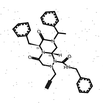 C#CCN1CC(=O)N2[C@@H](Cc3ccccc3)C(=O)N(C(C)c3ccccc3)C[C@@H]2N1C(=O)NCc1ccccc1